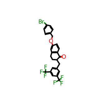 O=C1c2ccc(OCc3ccc(Br)cc3)cc2CCC1Cc1cc(C(F)(F)F)cc(C(F)(F)F)c1